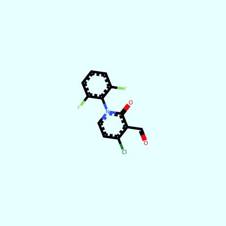 O=Cc1c(Cl)ccn(-c2c(F)cccc2F)c1=O